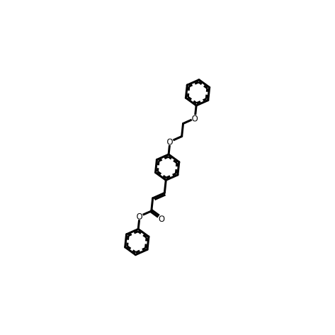 O=C(/C=C/c1ccc(OCCOc2ccccc2)cc1)Oc1ccccc1